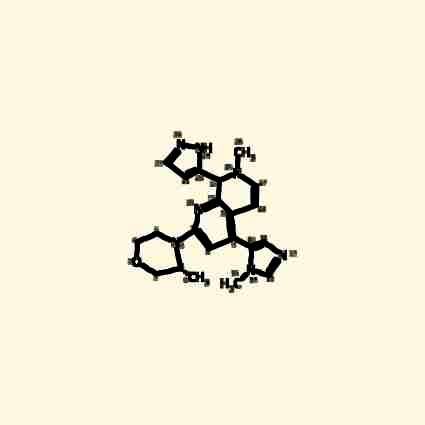 C[C@@H]1COCCN1c1cc(-c2cncn2C)c2c(n1)C(c1ccn[nH]1)N(C)C=C2